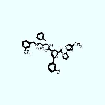 Cc1csc([C@H]2CCCN2C(=O)c2cc(C(=O)N[C@@H](Cc3ccccc3)[C@@H](O)CNCc3cccc(C(F)(F)F)c3)cc(-c3cccc(Cl)c3)n2)n1